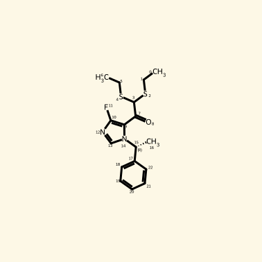 CCSC(SCC)C(=O)c1c(F)ncn1[C@H](C)c1ccccc1